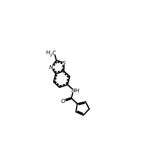 Cc1nc2ccc(NC(=O)C3=CCC=C3)cc2s1